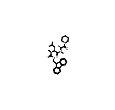 CC(C)C[C@@H](C(=O)N(C)[C@@H](C)C(=O)N1CCCCC1)N(C)C(=O)OCC1c2ccccc2-c2ccccc21